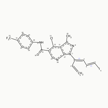 C=C/C(=C\C=C\I)n1nc(C)c2c(Cl)c(C(=O)Nc3ccc(C(F)(F)F)cc3)cnc21